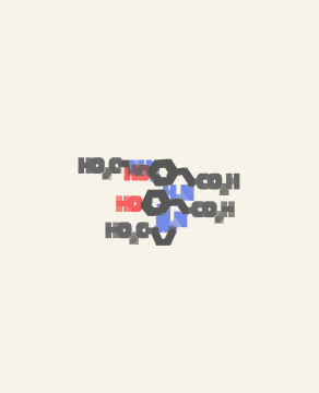 NCC(=O)O.N[C@@H](Cc1ccc(O)cc1)C(=O)O.N[C@@H](Cc1ccc(O)cc1)C(=O)O.O=C(O)[C@@H]1CCCN1